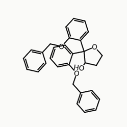 OC1CCOC1(c1ccccc1OCc1ccccc1)c1ccccc1OCc1ccccc1